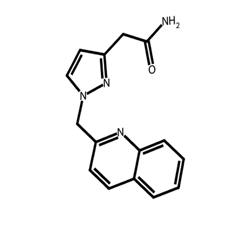 NC(=O)Cc1ccn(Cc2ccc3ccccc3n2)n1